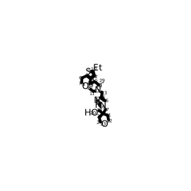 CCc1cc2c(s1)CCO[C@@]21CCN(Cc2cn(CC3(CO)CCOCC3)nn2)[C@@H](C)C1